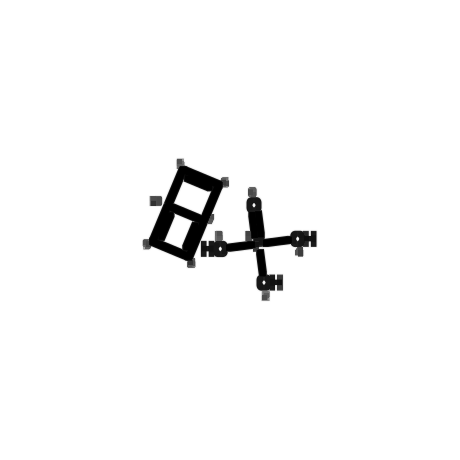 O=P(O)(O)O.c1cc2ccc1-2